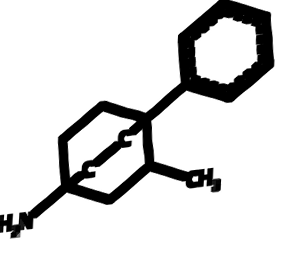 CC1CC2(N)CCC1(c1ccccc1)CC2